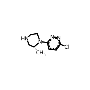 C[C@@H]1CNCCN1c1ccc(Cl)nn1